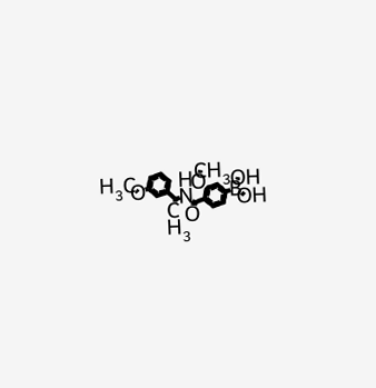 COc1cccc(C(C)NC(=O)c2ccc(B(O)O)cc2OC)c1